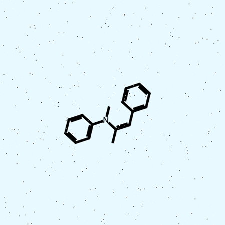 CC(=Cc1ccccc1)N(C)c1ccccc1